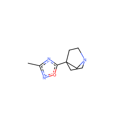 Cc1noc(C23CCN(CC2)C3)n1